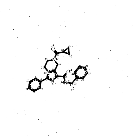 C[C@H](NC(=O)c1nc(-c2ccccc2)n2c1CN(C(=O)C1CC1)CC2)c1ccccc1